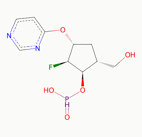 O=[PH](O)O[C@@H]1[C@@H](CO)C[C@@H](Oc2ccncn2)[C@@H]1F